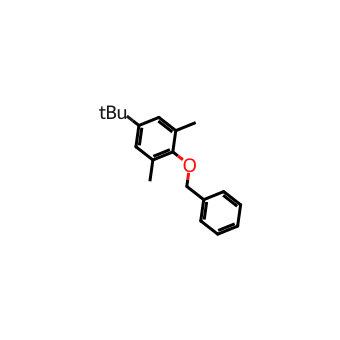 Cc1cc(C(C)(C)C)cc(C)c1OCc1ccccc1